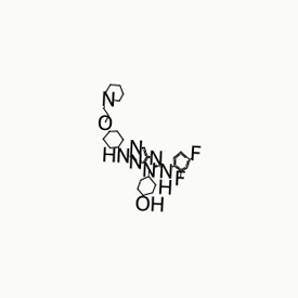 O[C@H]1CC[C@@H](n2c(Nc3ccc(F)cc3F)nc3cnc(N[C@H]4CC[C@H](OCCN5CCCCC5)CC4)nc32)CC1